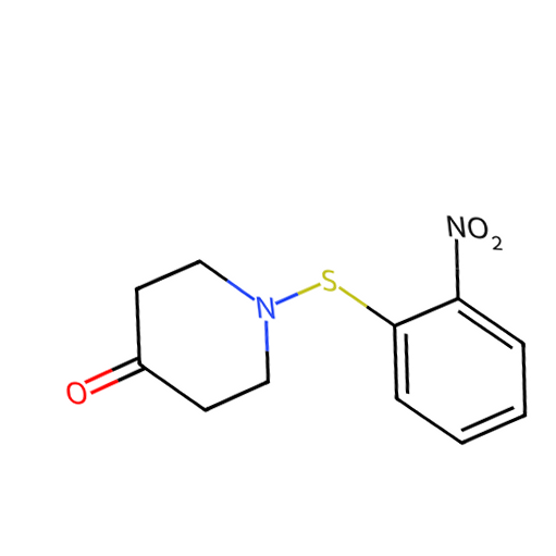 O=C1CCN(Sc2ccccc2[N+](=O)[O-])CC1